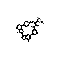 CC(C)CC(=O)Nc1cncc(-c2cc(F)c3[nH]nc(-c4nc5c(N6CCN(C)CC6)nccc5[nH]4)c3c2)c1